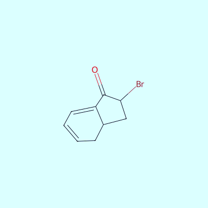 O=C1C2=CC=CCC2CC1Br